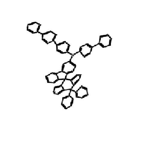 c1ccc(-c2ccc(-c3ccc(N(c4ccc(-c5ccccc5)cc4)c4ccc5c(c4)-c4ccccc4C54c5ccccc5C(c5ccccc5)(c5ccccc5)c5ccccc54)cc3)cc2)cc1